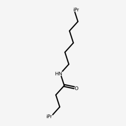 CC(C)CCCCCNC(=O)CCC(C)C